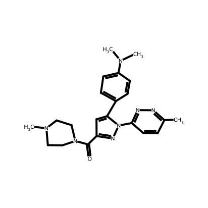 Cc1ccc(-n2nc(C(=O)N3CCN(C)CC3)cc2-c2ccc(N(C)C)cc2)nn1